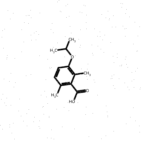 Cc1ccc(OC(C)C)c(C)c1C(=O)O